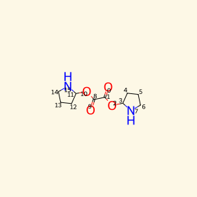 O=C(OC1CCCN1)C(=O)OC1CCCN1